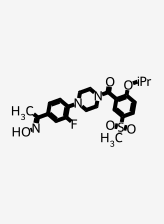 CC(=NO)c1ccc(N2CCN(C(=O)c3cc(S(C)(=O)=O)ccc3OC(C)C)CC2)c(F)c1